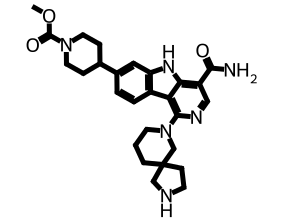 COC(=O)N1CCC(c2ccc3c(c2)[nH]c2c(C(N)=O)cnc(N4CCCC5(CCNC5)C4)c23)CC1